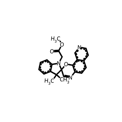 COC(=O)CN1c2ccccc2C(C)(C)C12C=Nc1ccc3ccncc3c1O2